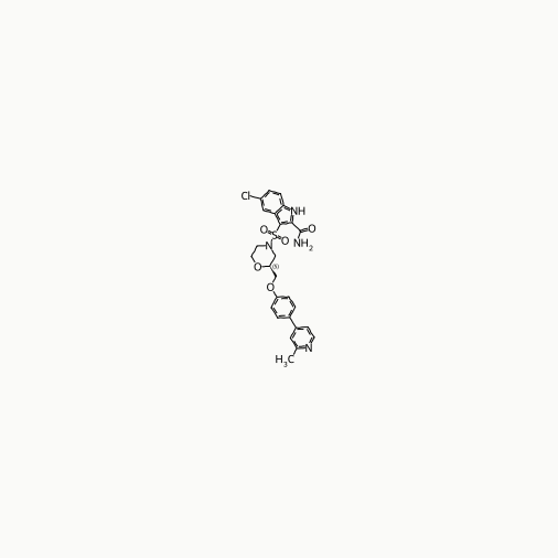 Cc1cc(-c2ccc(OC[C@@H]3CN(S(=O)(=O)c4c(C(N)=O)[nH]c5ccc(Cl)cc45)CCO3)cc2)ccn1